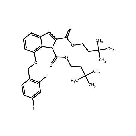 CC(C)(C)CCOC(=O)c1cc2cccc(OCc3ccc(F)cc3F)c2n1C(=O)OCCC(C)(C)C